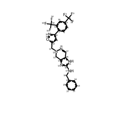 FC(F)(F)c1ccc(-c2cc(CN3Cc4nc(NCc5ccccc5)[nH]c4C=N3)on2)c(C(F)(F)F)c1